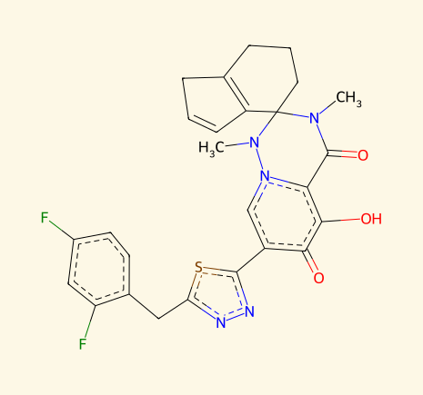 CN1C(=O)c2c(O)c(=O)c(-c3nnc(Cc4ccc(F)cc4F)s3)cn2N(C)C12CCCC1=C2C=CC1